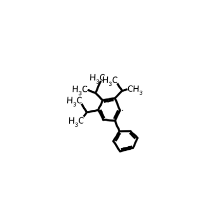 CC(C)c1[c]c(-c2ccccc2)cc(C(C)C)c1C(C)C